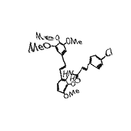 COc1ccc(/C=C/c2cc(OC)c(OC)c(OC)c2)c(NC(=O)/C=C/c2ccc(Cl)cc2)c1O